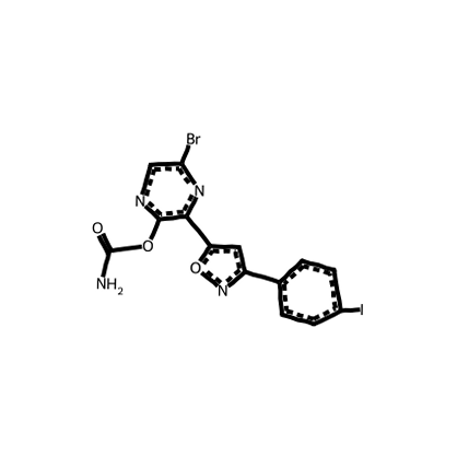 NC(=O)Oc1ncc(Br)nc1-c1cc(-c2ccc(I)cc2)no1